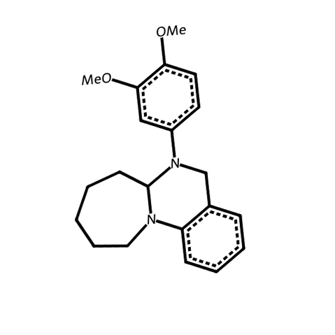 COc1ccc(N2Cc3ccccc3N3CCCCCC23)cc1OC